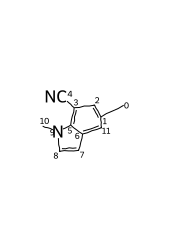 Cc1cc(C#N)c2c(ccn2C)c1